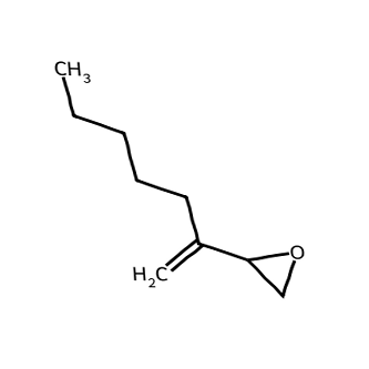 C=C(CCCCC)C1CO1